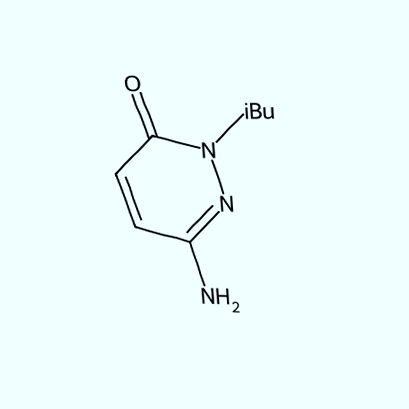 CCC(C)n1nc(N)ccc1=O